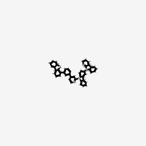 c1cc(-c2ccnc(-n3c4ccccc4c4cc(-n5c6ccccc6c6cccnc65)ccc43)c2)cc(-c2cccc3c2sc2ccccc23)c1